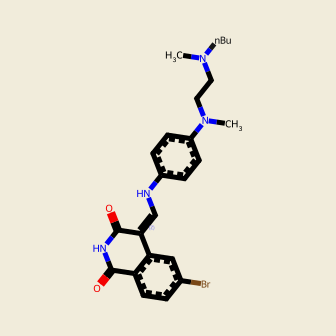 CCCCN(C)CCN(C)c1ccc(N/C=C2\C(=O)NC(=O)c3ccc(Br)cc32)cc1